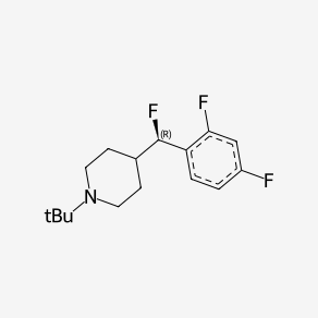 CC(C)(C)N1CCC([C@@H](F)c2ccc(F)cc2F)CC1